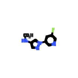 O=C(O)Nc1cnn(-c2cncc(F)c2)c1